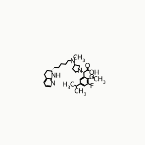 COc1c(F)cc(C(C)C)cc1[C@@H](C(=O)O)N1CC[C@@H](N(C)CCCCC[C@H]2CCc3cccnc3N2)C1